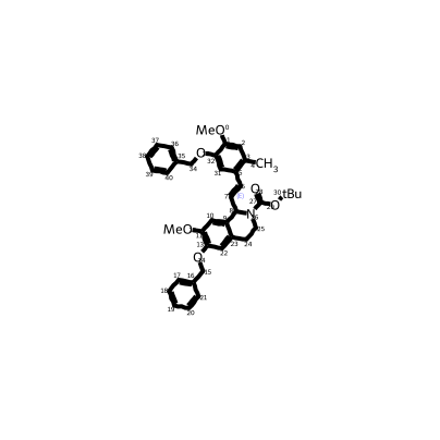 COc1cc(C)c(/C=C/C2c3cc(OC)c(OCc4ccccc4)cc3CCN2C(=O)OC(C)(C)C)cc1OCc1ccccc1